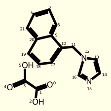 O=C(O)C(=O)O.c1ccc2c(Cn3ccnc3)cccc2c1